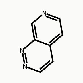 [c]1cnnc2cnccc12